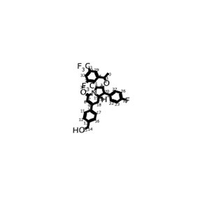 CC(O[C@H]1CN2C(=O)C=C(c3ccc(CO)cc3)C[C@H]2C1c1ccc(F)cc1)c1cc(C(F)(F)F)cc(C(F)(F)F)c1